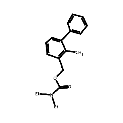 CCN(CC)C(=O)OCc1cccc(-c2ccccc2)c1C